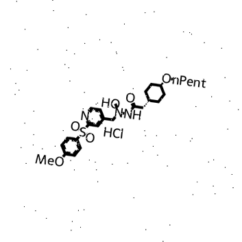 CCCCCO[C@H]1CC[C@H](CC(=O)NN(O)Cc2ccnc(S(=O)(=O)c3ccc(OC)cc3)c2)CC1.Cl